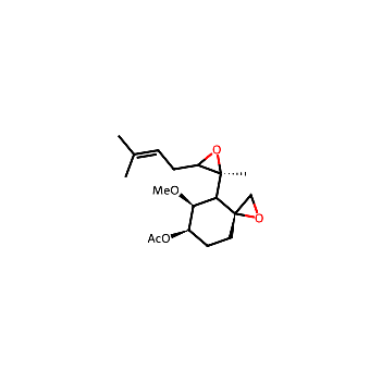 CO[C@H]1C([C@]2(C)OC2CC=C(C)C)[C@]2(CC[C@H]1OC(C)=O)CO2